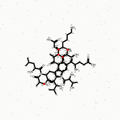 CC(C)CC(N)C(=O)N(C(=O)C(C)N)C(Cc1c(C(=O)C(N)C(C)C)n(C(=O)C(N)C(C)O)c2cc(C(=O)C(N)CCC(=O)O)c(C(=O)C(N)CCC(=O)O)c(C(=O)C(C)N(C(=O)C(N)CO)C(=O)C(N)CCCCN)c12)C(=O)O